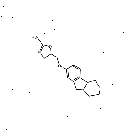 NC1=NCC(COc2ccc3c(c2)CC2CCCCC32)O1